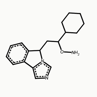 NOC(CC1c2ccccc2-c2cncn21)C1CCCCC1